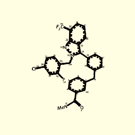 CNC(=O)c1cccc(Cc2cccc(-c3c4cccc(C(F)(F)F)c4nn3Cc3ccc(Cl)cc3F)c2)c1